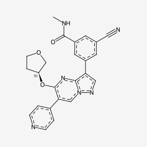 CNC(=O)c1cc(C#N)cc(-c2cnn3cc(-c4ccncc4)c(O[C@H]4CCOC4)nc23)c1